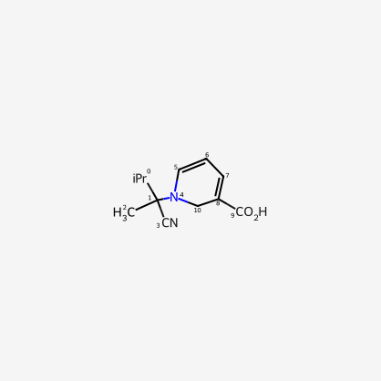 CC(C)C(C)(C#N)N1C=CC=C(C(=O)O)C1